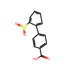 O=C(O)c1ccc(-c2ccccc2[SH](=O)=O)cc1